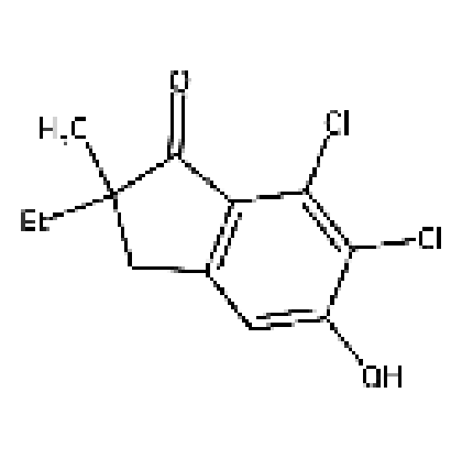 CCC1(C)Cc2cc(O)c(Cl)c(Cl)c2C1=O